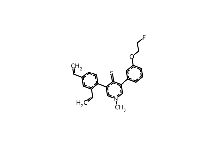 C=Cc1ccc(-c2cn(C)cc(-c3cccc(OCCF)c3)c2=S)c(C=C)c1